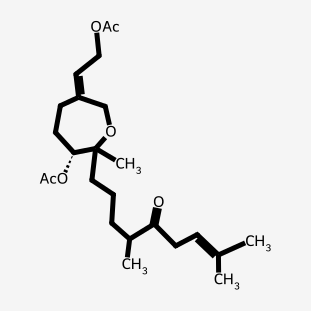 CC(=O)OCC=C1CC[C@@H](OC(C)=O)C(C)(CCCC(C)C(=O)CC=C(C)C)OC1